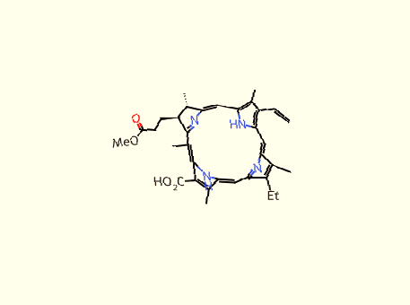 C=Cc1c(C)c2cc3nc(c(C)c4[nH]c(cc5nc(cc1[nH]2)C(C)=C5CC)c(C)c4C(=O)O)[C@@H](CCC(=O)OC)[C@@H]3C